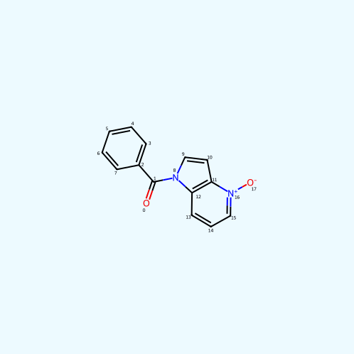 O=C(c1ccccc1)n1ccc2c1ccc[n+]2[O-]